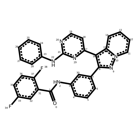 O=C(Nc1cccc(-c2nn3ccccc3c2-c2ccnc(Nc3ccccc3)n2)c1)c1cc(F)ccc1F